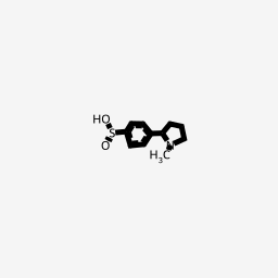 CN1CCCC1c1ccc(S(=O)O)cc1